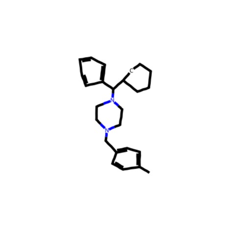 Cc1ccc(CN2CCN(C(c3ccccc3)C3CCCCC3)CC2)cc1